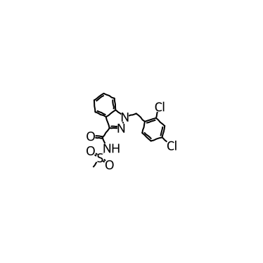 CS(=O)(=O)NC(=O)c1nn(Cc2ccc(Cl)cc2Cl)c2ccccc12